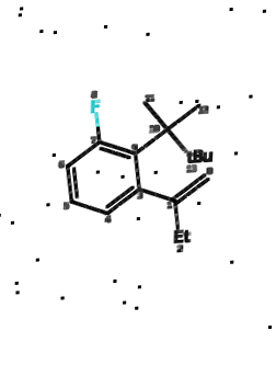 C=C(CC)c1cccc(F)c1C(C)(C)C(C)(C)C